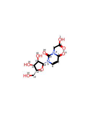 O=C(O)Cn1c(=O)ccn([C@@H]2O[C@H](CO)[C@@H](O)[C@H]2O)c1=O